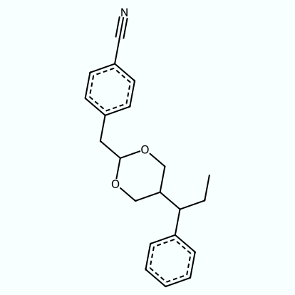 CCC(c1ccccc1)C1COC(Cc2ccc(C#N)cc2)OC1